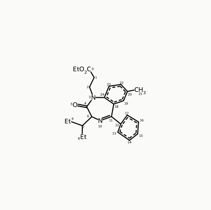 CCOC(=O)CCN1C(=O)C(C(CC)CC)N=C(c2ccccc2)c2cc(C)ccc21